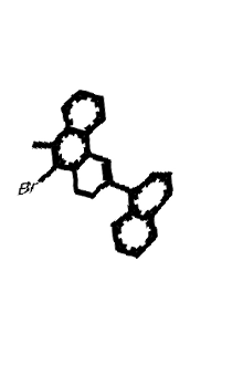 Cc1c(Br)c2c(c3ccccc13)C=C(c1cccc3ccccc13)CC2